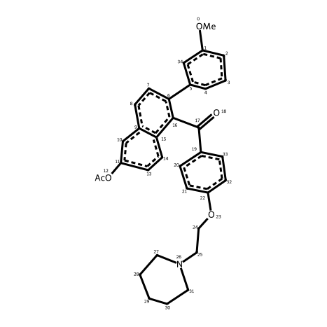 COc1cccc(-c2ccc3cc(OC(C)=O)ccc3c2C(=O)c2ccc(OCCN3CCCCC3)cc2)c1